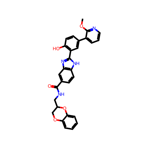 COc1ncccc1-c1ccc(O)c(-c2nc3cc(C(=O)NCC4COc5ccccc5O4)ccc3[nH]2)c1